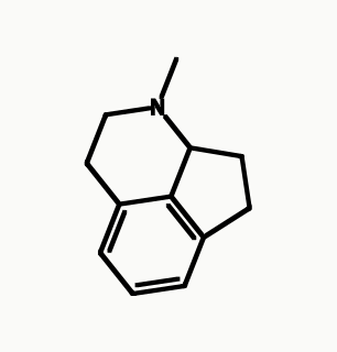 CN1CCc2cccc3c2C1CC3